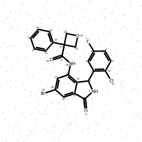 O=C1NC(c2cc(F)ccc2Cl)c2c(NC(=O)C3(c4ccccc4)COC3)cc(Br)cc21